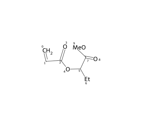 C=CC(=O)OC(CC)C(=O)OC